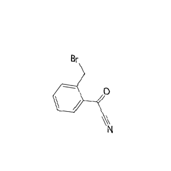 N#CC(=O)c1ccccc1CBr